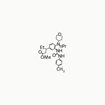 CCCN(c1ccc(C(CC)CC(=O)OC)cc1NC(=O)Nc1ccc(C)cc1)C1CCOCC1